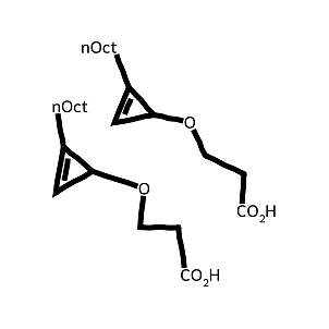 CCCCCCCCC1=CC1OCCC(=O)O.CCCCCCCCC1=CC1OCCC(=O)O